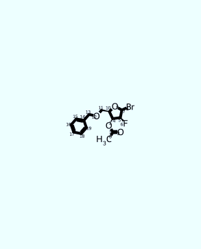 CC(=O)O[C@H]1[C@H](F)C(Br)O[C@@H]1COCc1ccccc1